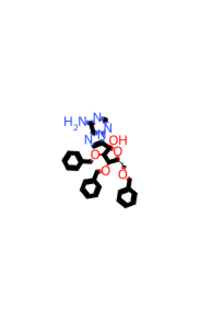 Nc1ncnn2c(C3(O)O[C@H](COCc4ccccc4)[C@@H](OCc4ccccc4)[C@H]3OCc3ccccc3)cnc12